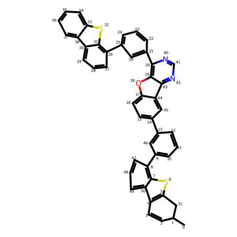 CC1C=Cc2c(sc3c(-c4cccc(-c5ccc6oc7c(-c8cccc(-c9cccc%10c9sc9ccccc9%10)c8)ncnc7c6c5)c4)cccc23)C1